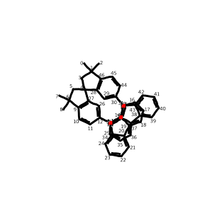 CC1(C)CC2(CC(C)(C)c3ccc(-n4c5ccccc5c5ccccc54)cc32)c2cc(-n3c4ccccc4c4ccccc43)ccc21